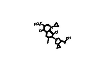 O=C(O)c1cn(C2CC2)c2c(Cl)c(N3CC(=NO)C4(CC4)C3)c(F)cc2c1=O